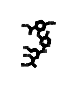 CNC(=O)c1ccc(OC)cc1Oc1nc(NC(/C=C/O)=C/C(OC)=C(\C)OC)ncc1Br